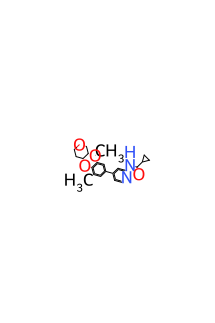 COc1cc(-c2ccnc(NC(=O)C3CC3)c2)cc(C)c1OC1CCOCC1